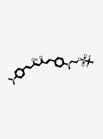 CN(C)c1ccc(/C=C/C(O)=C/C(=O)/C=C/c2ccc(N(C)CCOS(=O)(=O)C(F)(F)F)cc2)cc1